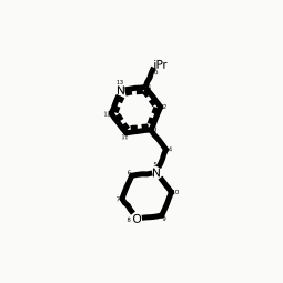 CC(C)c1cc(CN2CCOCC2)ccn1